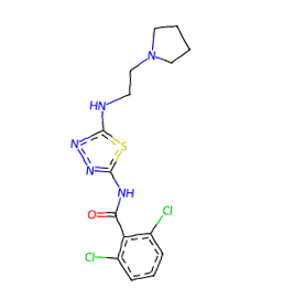 O=C(Nc1nnc(NCCN2CCCC2)s1)c1c(Cl)cccc1Cl